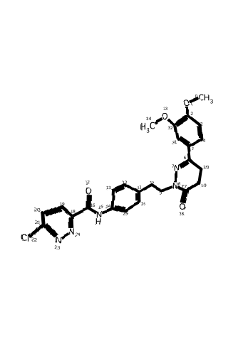 COc1ccc(C2=NN(CCc3ccc(NC(=O)c4ccc(Cl)nn4)cc3)C(=O)CC2)cc1OC